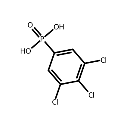 O=P(O)(O)c1cc(Cl)c(Cl)c(Cl)c1